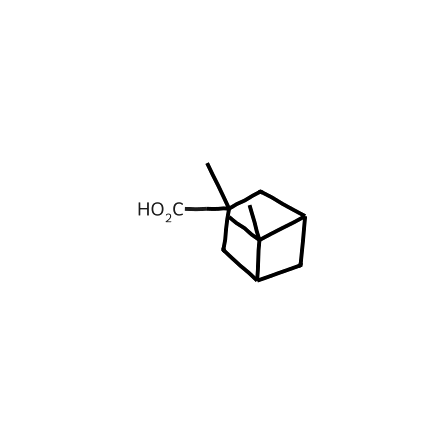 CC1(C(=O)O)CC2CC(C1)C2(C)C